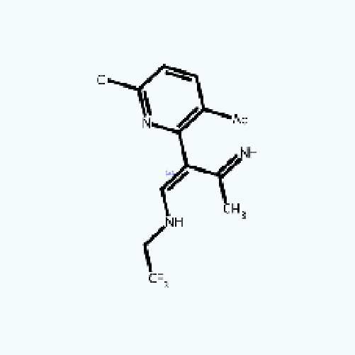 CC(=N)/C(=C\NCC(F)(F)F)c1nc(Cl)ccc1C(C)=O